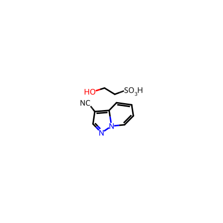 N#Cc1cnn2ccccc12.O=S(=O)(O)CCO